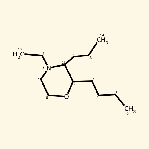 CCCCC1OCCN(CC)C1CCC